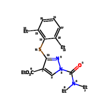 CCOC(=O)c1cn(C(=O)N(CC)CC)nc1Sc1c(CC)cccc1CC